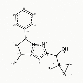 CC1(C(O)c2nc3n(n2)C(c2ccccc2)CC3F)CC1